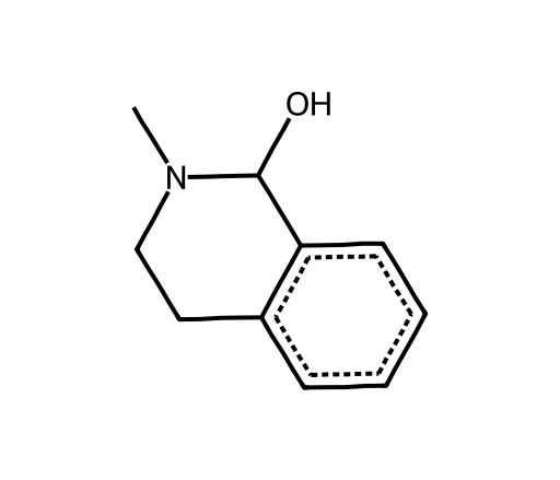 CN1CCc2ccccc2C1O